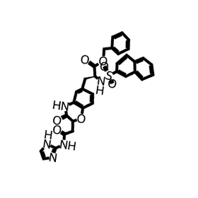 O=C(CC1Oc2ccc(C[C@H](NS(=O)(=O)c3ccc4ccccc4c3)C(=O)OCc3ccccc3)cc2NC1=O)Nc1ncc[nH]1